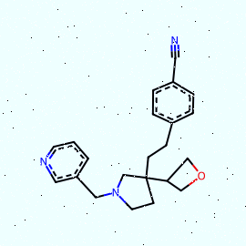 N#Cc1ccc(CCC2(C3COC3)CCN(Cc3cccnc3)C2)cc1